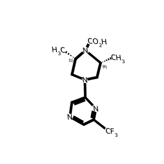 C[C@@H]1CN(c2cncc(C(F)(F)F)n2)C[C@H](C)N1C(=O)O